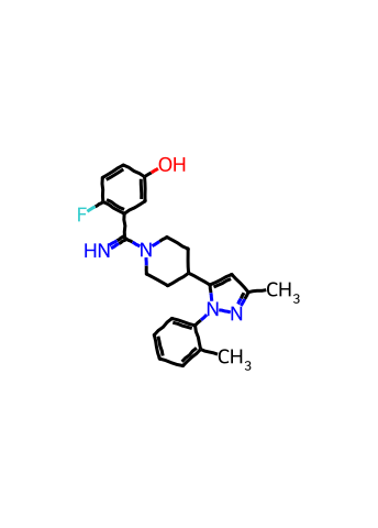 Cc1cc(C2CCN(C(=N)c3cc(O)ccc3F)CC2)n(-c2ccccc2C)n1